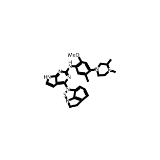 COc1cc(N2CCN(C)C(C)C2)c(C)cc1Nc1nc(N2SN3CCc4cccc2c43)c2cc[nH]c2n1